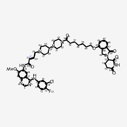 COc1cc2ncnc(Nc3ccc(F)c(Cl)c3)c2cc1NC(=O)/C=C/CN1CCC(N2CCN(C(=O)CCCCCCOc3cccc4c3CN(C3CCC(=O)NC3=O)C4=O)CC2)CC1